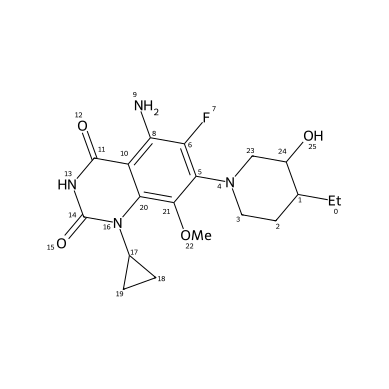 CCC1CCN(c2c(F)c(N)c3c(=O)[nH]c(=O)n(C4CC4)c3c2OC)CC1O